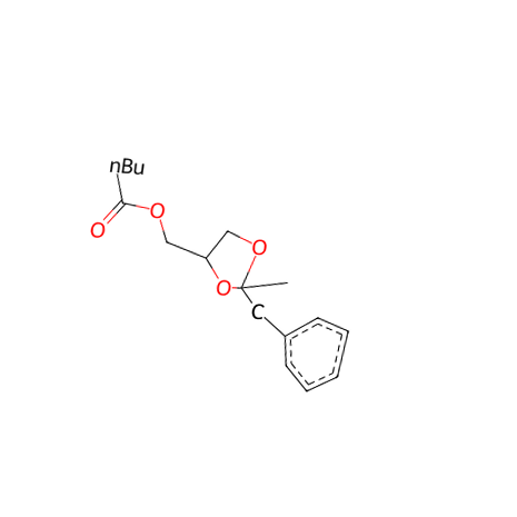 CCCCC(=O)OCC1COC(C)(Cc2ccccc2)O1